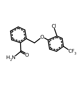 NC(=O)c1ccccc1COc1ccc(C(F)(F)F)cc1Cl